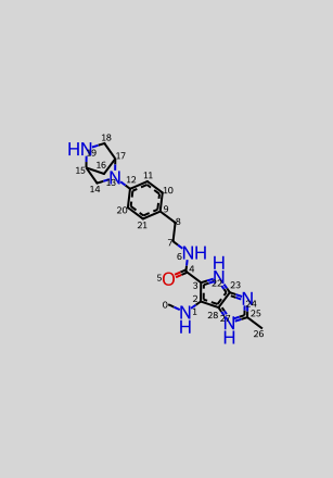 CNc1c(C(=O)NCCc2ccc(N3CC4CC3CN4)cc2)[nH]c2nc(C)[nH]c12